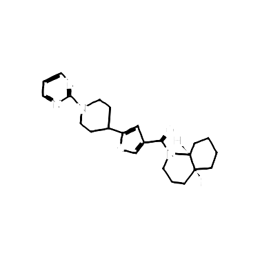 O=C(c1csc(C2CCN(c3ncccn3)CC2)c1)N1CCC[C@H]2CCCC[C@H]21